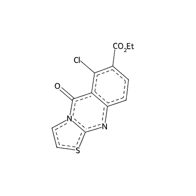 CCOC(=O)c1ccc2nc3sccn3c(=O)c2c1Cl